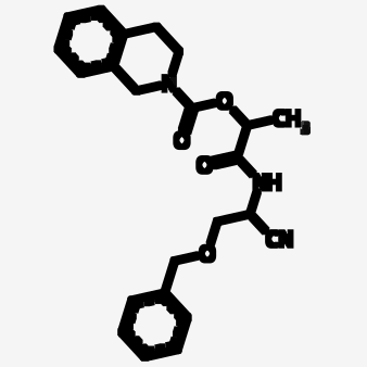 CC(OC(=O)N1CCc2ccccc2C1)C(=O)NC(C#N)COCc1ccccc1